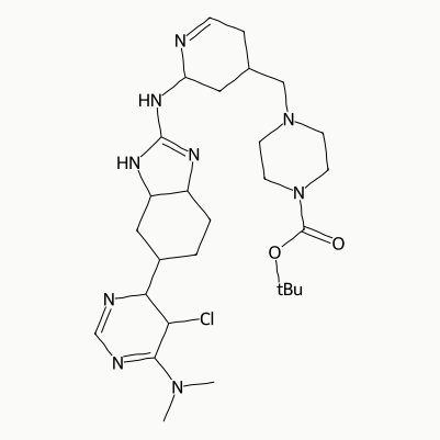 CN(C)C1=NC=NC(C2CCC3N=C(NC4CC(CN5CCN(C(=O)OC(C)(C)C)CC5)CC=N4)NC3C2)C1Cl